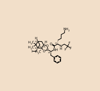 CC1(C)[C@@H]2C[C@H]3OB([C@H](Cc4ccccc4)NC(=O)[C@H](CCCCN)NCC(F)(F)F)O[C@@]3(C)[C@@]1(CI)C2